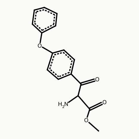 COC(=O)C(N)C(=O)c1ccc(Oc2ccccc2)cc1